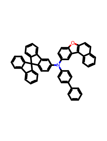 c1ccc(-c2ccc(N(c3ccc4c(c3)-c3ccccc3C43c4ccccc4-c4ccccc43)c3ccc4oc5ccc6ccccc6c5c4c3)cc2)cc1